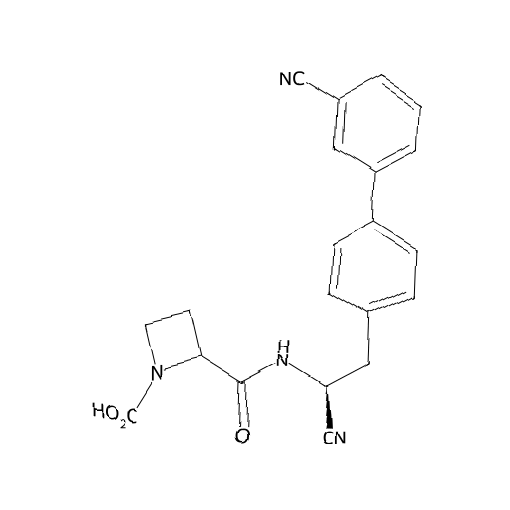 N#Cc1cccc(-c2ccc(C[C@@H](C#N)NC(=O)C3CCN3C(=O)O)cc2)c1